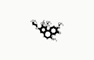 C=CCOc1cc2c(c(OC)c1OC)-c1ccc(SC)c(=O)cc1C(N)CC2